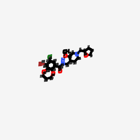 COC1CN(CC2CCCO2)CC[C@H]1CNC(=O)c1cc(Cl)c(Br)c2c1OCCCO2